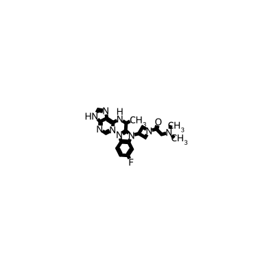 CC(Nc1ncnc2[nH]cnc12)c1nc2ccc(F)cc2n1C1CN(C(=O)CN(C)C)C1